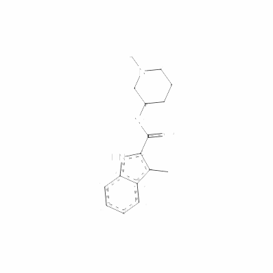 Cc1c(C(=O)NC2CCCN(C)C2)[nH]c2ccccc12